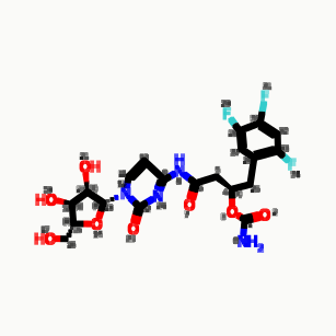 NC(=O)O[C@@H](CC(=O)Nc1ccn([C@@H]2O[C@H](CO)[C@@H](O)[C@H]2O)c(=O)n1)Cc1cc(F)c(F)cc1F